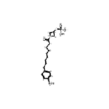 CCCCc1ccc(CCCCCCCCC(=O)N2CC(OP(=O)(O)O)C2)cc1